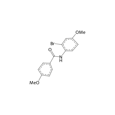 COc1ccc(C(=O)Nc2ccc(OC)cc2Br)cc1